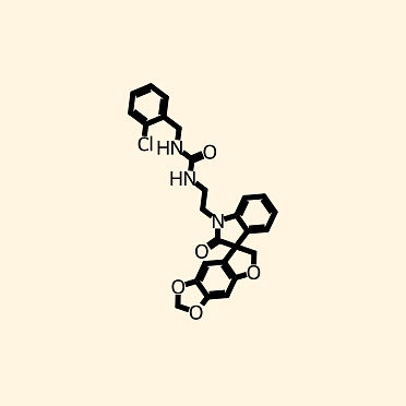 O=C(NCCN1C(=O)C2(COc3cc4c(cc32)OCO4)c2ccccc21)NCc1ccccc1Cl